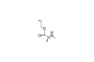 C=CCOC(=O)[C@H](C)NC